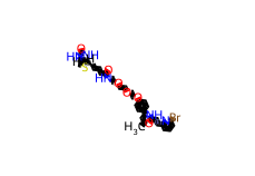 CCCC(NC(=O)/C=C/c1cccc(Br)n1)c1ccc(OCCOCCOCCNC(=O)CCCC[C@@H]2SC[C@@H]3NC(=O)N[C@@H]32)cc1